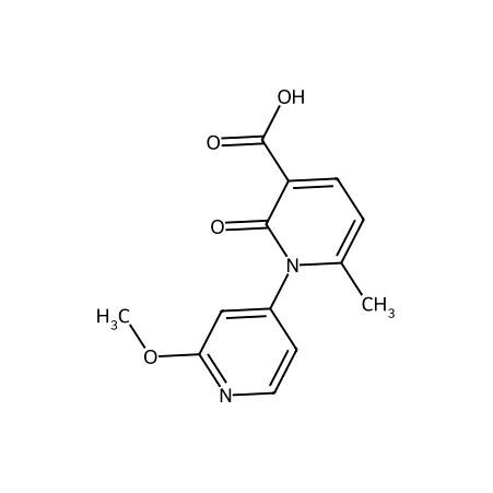 COc1cc(-n2c(C)ccc(C(=O)O)c2=O)ccn1